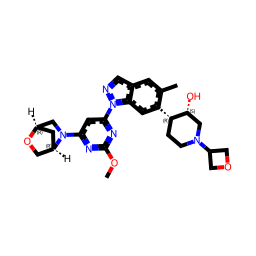 COc1nc(N2C[C@H]3C[C@@H]2CO3)cc(-n2ncc3cc(C)c([C@H]4CCN(C5COC5)C[C@H]4O)cc32)n1